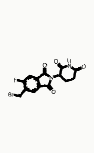 O=C1CCC(N2C(=O)c3cc(F)c(CBr)cc3C2=O)C(=O)N1